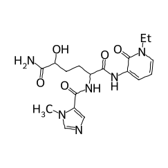 CCn1cccc(NC(=O)C(CCC(O)C(N)=O)NC(=O)c2cncn2C)c1=O